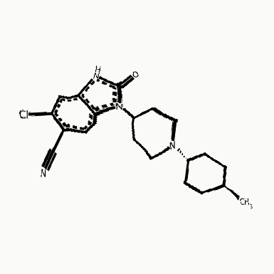 C[C@H]1CC[C@H](N2CCC(n3c(=O)[nH]c4cc(Cl)c(C#N)cc43)CC2)CC1